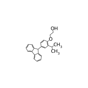 CC(C)c1cc(C2c3ccccc3-c3ccccc32)ccc1OCCO